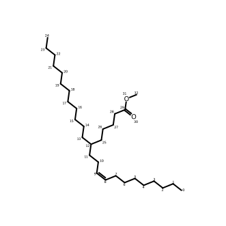 CCCCCCCC/C=C\CCC(CCCCCCCCCCCC)CCCCC(=O)OC